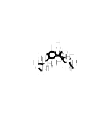 [2H]c1[nH]c2c([2H])c([2H])c(C([2H])([2H])[C@@H]3NC(=O)OC3([2H])[2H])c([2H])c2c1C([2H])([2H])CN(C([2H])([2H])[2H])C([2H])([2H])[2H]